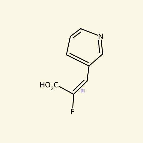 O=C(O)/C(F)=C\c1cccnc1